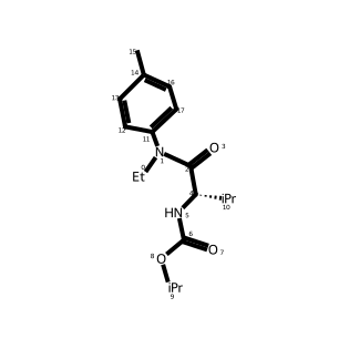 CCN(C(=O)[C@@H](NC(=O)OC(C)C)C(C)C)c1ccc(C)cc1